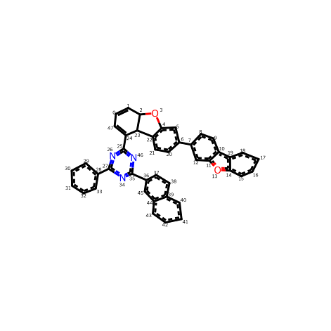 C1=CC2Oc3cc(-c4ccc5c(c4)oc4ccccc45)ccc3C2C(c2nc(-c3ccccc3)nc(-c3ccc4ccccc4c3)n2)=C1